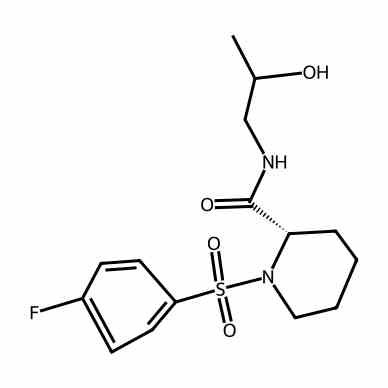 CC(O)CNC(=O)[C@@H]1CCCCN1S(=O)(=O)c1ccc(F)cc1